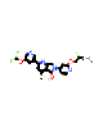 Cc1cc(-c2cncc(OC(F)F)c2)nc2c1C(=O)N(c1ccnc(OCC(C)F)c1)C2